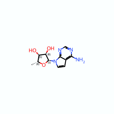 C[C@H]1O[C@H](n2ccc3c(N)ncnc32)[C@H](O)[C@@H]1O